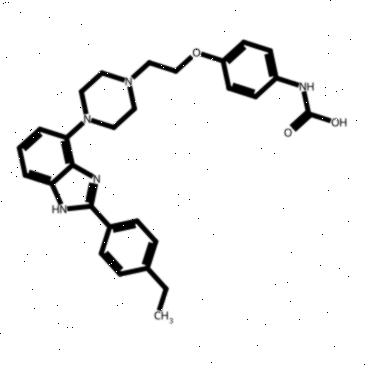 CCc1ccc(-c2nc3c(N4CCN(CCOc5ccc(NC(=O)O)cc5)CC4)cccc3[nH]2)cc1